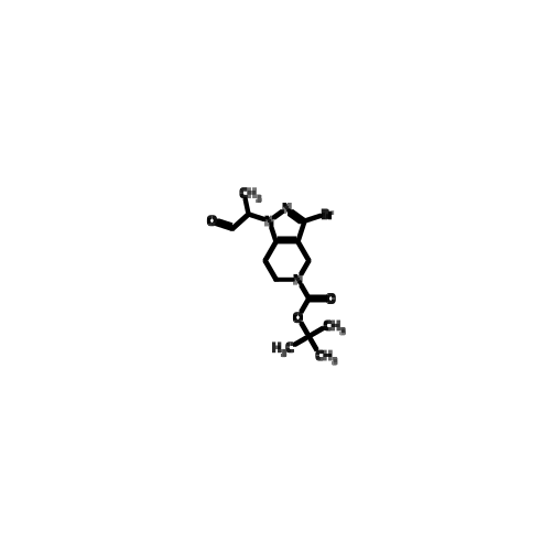 CC(C=O)n1nc(Br)c2c1CCN(C(=O)OC(C)(C)C)C2